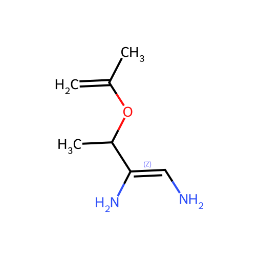 C=C(C)OC(C)/C(N)=C/N